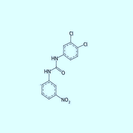 O=C(Nc1[c]ccc([N+](=O)[O-])c1)Nc1ccc(Cl)c(Cl)c1